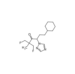 CC(CF)(CF)C(=O)C(CCC1CCCCC1)n1cncn1